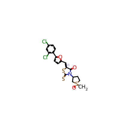 C=S1(=O)CCC(N2C(=O)/C(=C/c3ccc(-c4ccc(Cl)cc4Cl)o3)SC2=S)C1